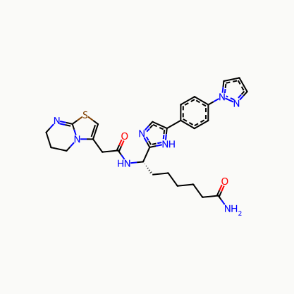 NC(=O)CCCCC[C@H](NC(=O)CC1=CSC2=NCCCN12)c1ncc(-c2ccc(-n3cccn3)cc2)[nH]1